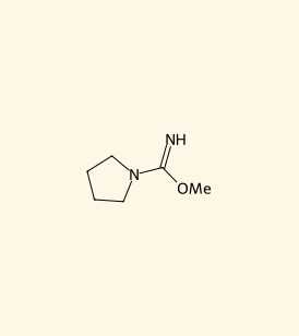 COC(=N)N1CCCC1